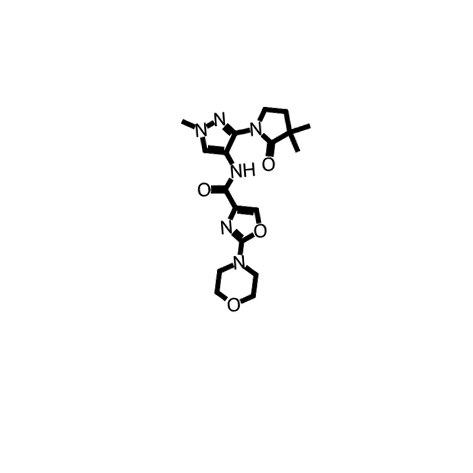 Cn1cc(NC(=O)c2coc(N3CCOCC3)n2)c(N2CCC(C)(C)C2=O)n1